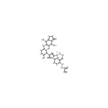 C[C@]1(c2c[nH]c(-c3cc(Sc4c(F)c(F)c5[nH]ccc5c4F)ccc3F)n2)CCOc2c(CCC(=O)O)cccc21